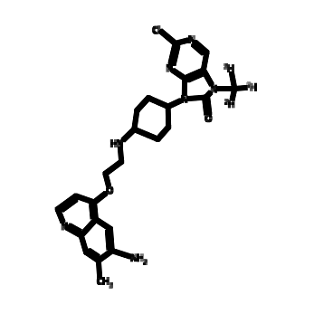 [2H]C([2H])([2H])n1c(=O)n(C2CCC(NCCOc3ccnc4cc(C)c(N)cc34)CC2)c2nc(Cl)ncc21